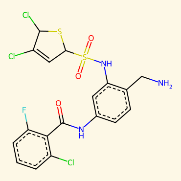 NCc1ccc(NC(=O)c2c(F)cccc2Cl)cc1NS(=O)(=O)C1C=C(Cl)C(Cl)S1